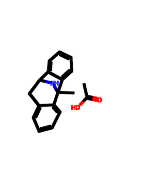 CC(=O)O.CC12NC(Cc3ccccc31)c1ccccc12